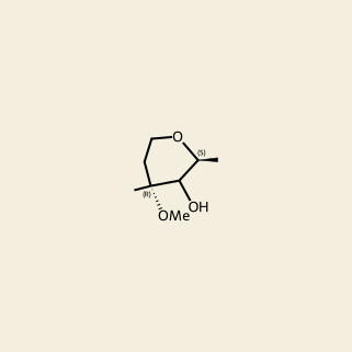 CO[C@]1(C)CCO[C@@H](C)C1O